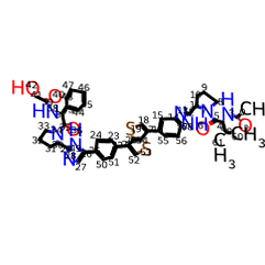 CC(=O)N[C@H](C(=O)N1CCCC1c1nc2cc(-c3csc4c(-c5ccc(-c6cnc(C7CCCN7C(=O)[C@H](NC(=O)CO)c7ccccc7)[nH]6)cc5)csc34)ccc2[nH]1)C(C)C